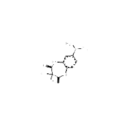 CC(C)c1cnc2c(c1)NC(=O)C(C)(C)C(=O)N2